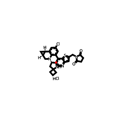 Cl.O=C1CCC(=O)N1Cc1cc2nccc(-c3cc(Cl)cc4c3N([C@@H]3CNC5(CCC5)C3)C[C@H]3C[C@@H]43)c2s1